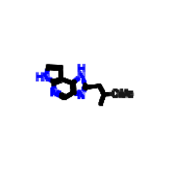 COC(C)Cc1nc2cnc3[nH]ccc3c2[nH]1